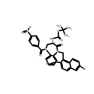 COc1ccc2cc(Br)ccc2c1CN1C(=O)[C@@H](NC(=O)OC(C)(C)C)CN(C(=O)c2ccc([N+](=O)[O-])cc2)c2ccccc21